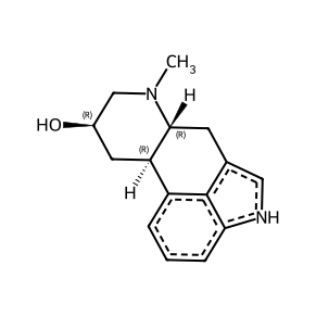 CN1C[C@H](O)C[C@@H]2c3cccc4[nH]cc(c34)C[C@H]21